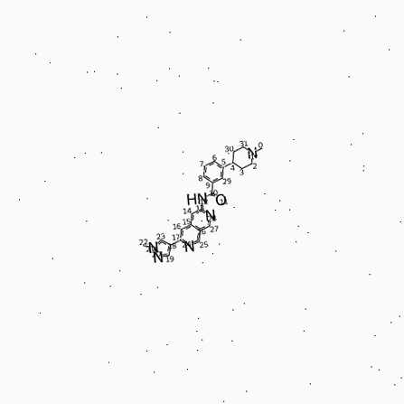 CN1CCC(c2cccc(C(=O)Nc3cc4cc(-c5cnn(C)c5)ncc4cn3)c2)CC1